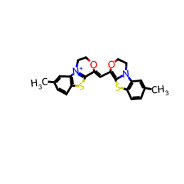 Cc1ccc2c(c1)N1CCOC(C=C3OCC[n+]4c3sc3ccc(C)cc34)=C1S2